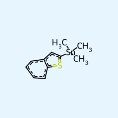 [CH3][Sn]([CH3])([CH3])[c]1cc2ccccc2s1